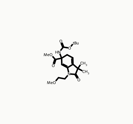 COCCN1C(=O)C(C)(C)C2=CCC(NC(=O)OC(C)(C)C)(C(=O)OC)C=C21